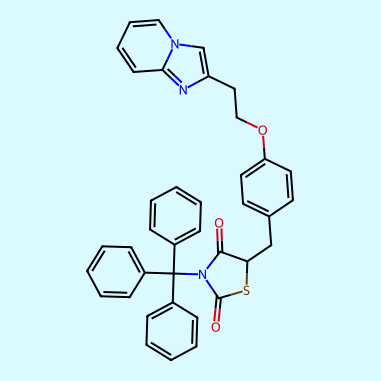 O=C1SC(Cc2ccc(OCCc3cn4ccccc4n3)cc2)C(=O)N1C(c1ccccc1)(c1ccccc1)c1ccccc1